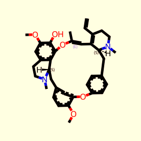 C=CC1=C2/C=C(\C)Oc3c(O)c(OC)cc4c3[C@H](Cc3ccc(OC)c(c3)Oc3ccc(cc3)C[C@@H]2N(C)CC1)N(C)CC4